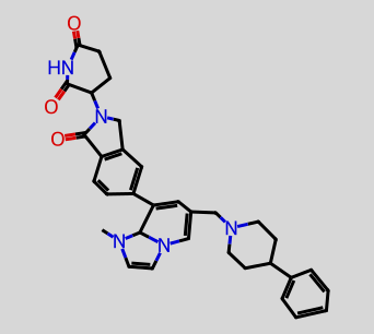 CN1C=CN2C=C(CN3CCC(c4ccccc4)CC3)C=C(c3ccc4c(c3)CN(C3CCC(=O)NC3=O)C4=O)C12